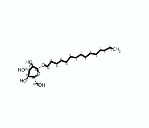 CCCCCCCCCCCCCCCO[C@@H]1O[C@H](CO)[C@@H](O)[C@H](O)[C@H]1O